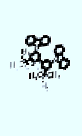 CC(C)(C)c1cc(-c2cc(-n3c4ccccc4c4ccccc43)cc(C(C)(C)C)c2)cc(-n2c3ccccc3c3ccccc32)c1